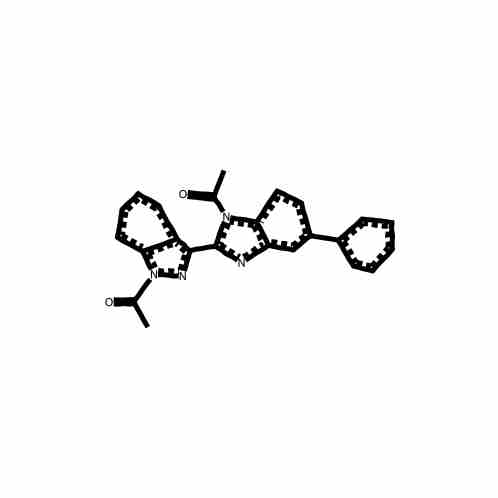 CC(=O)n1nc(-c2nc3cc(-c4ccccc4)ccc3n2C(C)=O)c2ccccc21